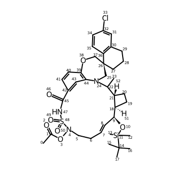 CC(=O)ON1CC/C=C/[C@H](O[Si](C)(C)C(C)(C)C)[C@@H]2CC[C@H]2C(C)N2C[C@@]3(CCCc4cc(Cl)ccc43)COc3ccc(cc32)C(=O)NS1(=O)=O